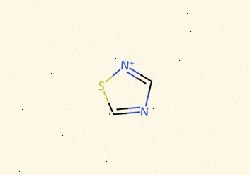 [C]1=NC=[N+]S1